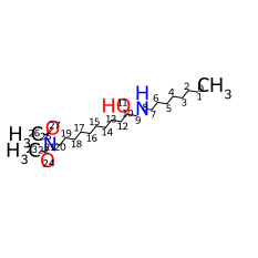 CCCCCCCCNCC(O)CCCCCCCCCN(C(C)=O)C(C)=O